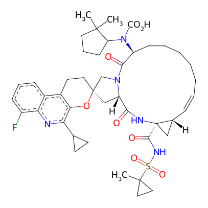 CC1(C)CCCC1N(C(=O)O)[C@H]1CCCCC/C=C\[C@@H]2C[C@@]2(C(=O)NS(=O)(=O)C2(C)CC2)NC(=O)[C@@H]2C[C@]3(CCc4c(c(C5CC5)nc5c(F)cccc45)O3)CN2C1=O